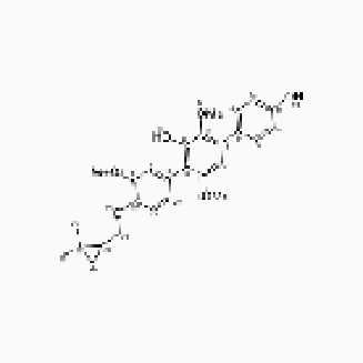 COc1cc(-c2c(OC)cc(-c3ccc(O)cc3)c(OC)c2O)ccc1OCC1CC1(C)C